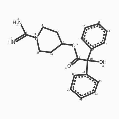 N=C(N)N1CCC(OC(=O)C(O)(c2ccccc2)c2ccccc2)CC1